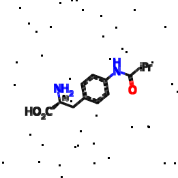 CC(C)C(=O)Nc1ccc(C[C@H](N)C(=O)O)cc1